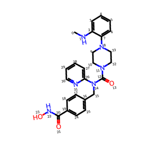 CNc1ccccc1N1CCN(C(=O)N(Cc2ccc(C(=O)NO)cc2)c2ccccn2)CC1